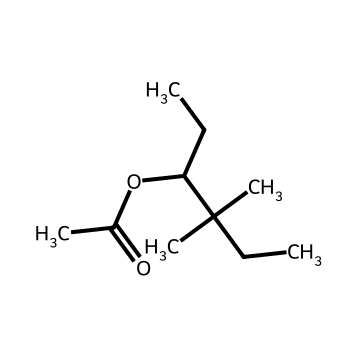 CCC(OC(C)=O)C(C)(C)CC